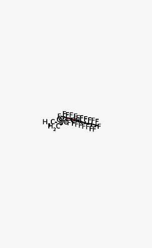 C=C[Si](OCC)(OCC)C(F)(F)C(F)(F)C(F)(F)C(F)(F)C(F)(F)C(F)(F)C(F)(F)C(F)(F)C(F)(F)C(F)(F)F